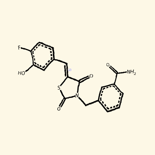 NC(=O)c1cccc(CN2C(=O)S/C(=C\c3ccc(F)c(O)c3)C2=O)c1